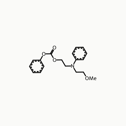 COCCN(CCOC(=O)Oc1ccccc1)c1ccccc1